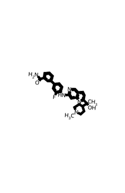 CN1CCC([C@@](C)(O)c2ccc3cnc(Nc4ccc(-c5cccc(C(N)=O)c5)cc4F)cc3n2)CC1